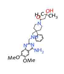 COc1cc2nc(CNCC3(c4ccccc4)CCN(C(=O)CC(C)(C)O)CC3)nc(N)c2cc1OC